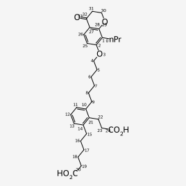 CCCc1c(OCCCCCCc2cccc(CCCCCC(=O)O)c2CCC(=O)O)ccc2c1OCCC2=O